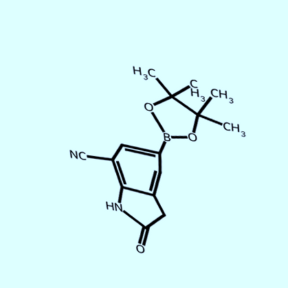 CC1(C)OB(c2cc(C#N)c3c(c2)CC(=O)N3)OC1(C)C